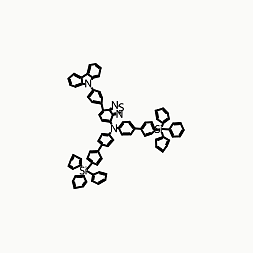 c1ccc([Si](c2ccccc2)(c2ccccc2)c2ccc(-c3ccc(N(c4ccc(-c5ccc([Si](c6ccccc6)(c6ccccc6)c6ccccc6)cc5)cc4)c4ccc(-c5ccc(-n6c7ccccc7c7ccccc76)cc5)c5nsnc45)cc3)cc2)cc1